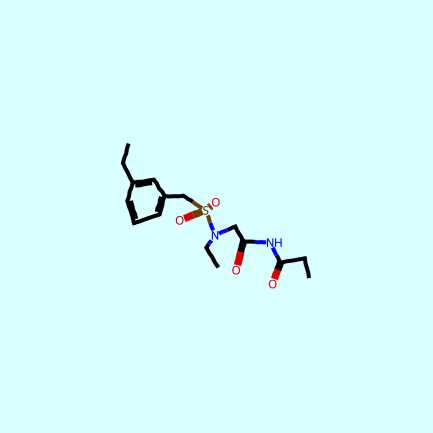 CCC(=O)NC(=O)CN(CC)S(=O)(=O)Cc1cccc(CC)c1